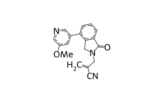 C=C(C#N)CN1Cc2c(cccc2-c2cncc(OC)c2)C1=O